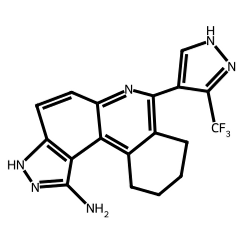 Nc1n[nH]c2ccc3nc(-c4c[nH]nc4C(F)(F)F)c4c(c3c12)CCCC4